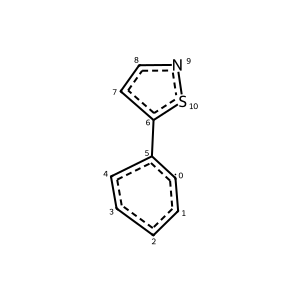 [c]1ccccc1-c1ccns1